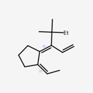 C=C/C(=C1/CCC/C1=C/C)C(C)(C)CC